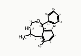 CC1Cc2c(F)cccc2C(c2ccccc2)OCN1